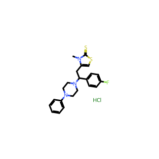 Cl.Cn1c(CC(c2ccc(F)cc2)N2CCN(c3ccccc3)CC2)csc1=S